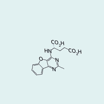 Cc1nc(N[C@@H](CCC(=O)O)C(=O)O)c2oc3ccccc3c2n1